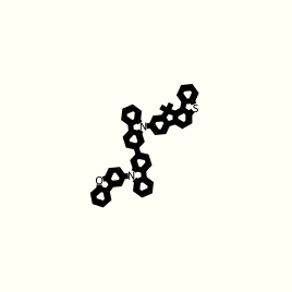 CC1(C)c2cc(-n3c4ccccc4c4ccc(-c5ccc6c7ccccc7n(-c7ccc8oc9ccccc9c8c7)c6c5)cc43)ccc2-c2ccc3sc4ccccc4c3c21